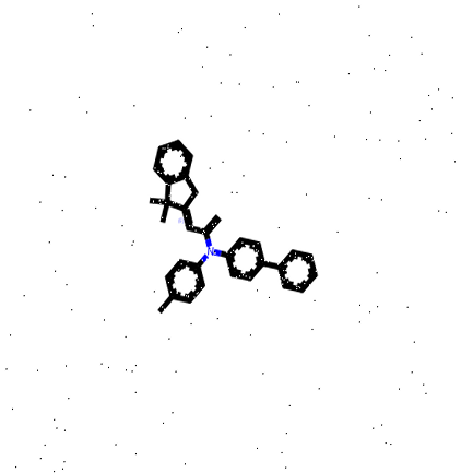 C=C(/C=C1\Cc2ccccc2C1(C)C)N(c1ccc(C)cc1)c1ccc(-c2ccccc2)cc1